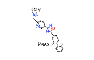 COCc1cc(-c2nc(-c3ccc(CNCC(=O)O)nc3)no2)ccc1-c1ccccc1C